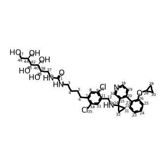 O=C(NCCCCc1cc(Cl)c(CNC2(c3cnccc3-c3ccccc3OC3CC3)CC2)cc1Cl)NC[C@H](O)[C@@H](O)[C@H](O)[C@H](O)CO